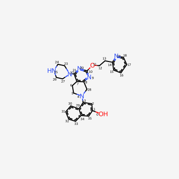 Oc1cc(N2CCc3c(nc(OCCc4ccccn4)nc3N3CCNCC3)C2)c2ccccc2c1